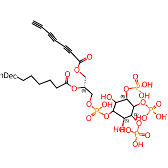 C#CC#CC#CC(=O)OC[C@H](COP(=O)(O)OC1C(O)[C@@H](OP(=O)(O)O)C(OP(=O)(O)O)[C@@H](OP(=O)(O)O)[C@H]1O)OC(=O)CCCCCCCCCCCCCCC